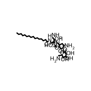 CCCCCCCCCCCCCCCC(=O)NCC(O[C@@H](CO)O[C@H]1C(N)C[C@H](N)C(O[C@H]2OC(CN)[C@@H](O)C(O)C2O)C1O)[C@@H](O)CN